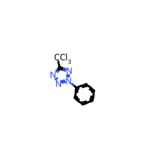 ClC(Cl)(Cl)c1nnn(-c2ccccc2)n1